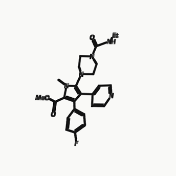 CCNC(=O)N1CCN(c2c(-c3ccncc3)c(-c3ccc(F)cc3)c(C(=O)OC)n2C)CC1